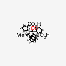 CNC(CC(O)(c1ccccc1)c1ccccc1C(=O)O)c1ccccc1.O=C(O)c1ccccc1